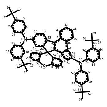 CC(C)(C)c1ccc(N(c2cccc(C(C)(C)C)c2)c2ccc3c(c2)C2(c4ccccc4Sc4ccccc42)c2c-3c3ccccc3c3cc(N(c4ccc(C(C)(C)C)cc4)c4cccc(C(C)(C)C)c4)ccc23)cc1